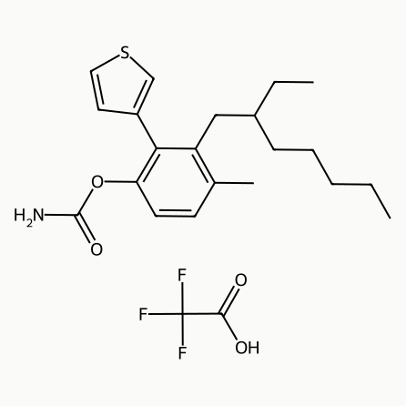 CCCCCC(CC)Cc1c(C)ccc(OC(N)=O)c1-c1ccsc1.O=C(O)C(F)(F)F